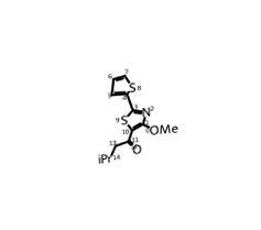 COc1nc(-c2cccs2)sc1C(=O)CC(C)C